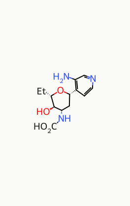 CC[C@@H]1O[C@H](c2ccncc2N)C[C@H](NC(=O)O)[C@H]1O